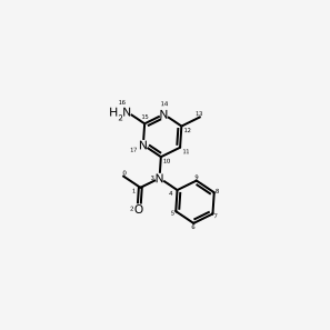 CC(=O)N(c1ccccc1)c1cc(C)nc(N)n1